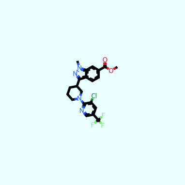 COC(=O)c1ccc2c(C3CCCN(c4ncc(C(F)(F)F)cc4Cl)C3)nn(C)c2c1